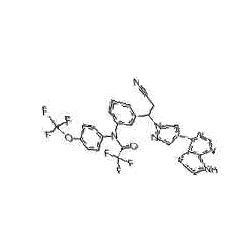 N#CCC(c1cccc(N(C(=O)C(F)(F)F)c2ccc(OC(F)(F)F)cc2)c1)n1cc(-c2ncnc3[nH]ccc23)cn1